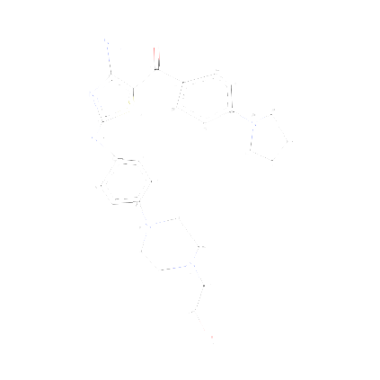 Nc1nc(Nc2ccc(N3CCN(CCO)CC3)cc2)sc1C(=O)c1ccc(N2CCCC2)cc1